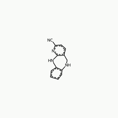 N#Cc1ccc2c(n1)Nc1ccccc1NC2